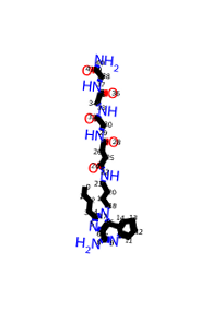 CCCCc1nc2c(N)nc3ccccc3c2n1CCCCNC(=O)CCC(=O)NCC(=O)NCC(=O)NCC(N)=O